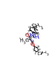 C/C(=C\Oc1ccc(C)cc1)C(=O)Nc1ccc(C)cc1